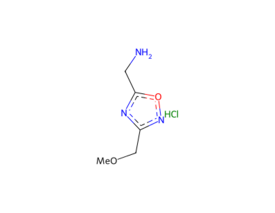 COCc1noc(CN)n1.Cl